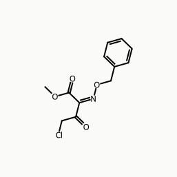 COC(=O)C(=NOCc1ccccc1)C(=O)CCl